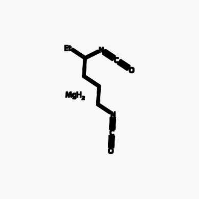 CCC(CCCN=C=O)N=C=O.[MgH2]